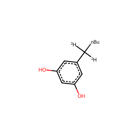 [2H]C([2H])(CCCC)c1cc(O)cc(O)c1